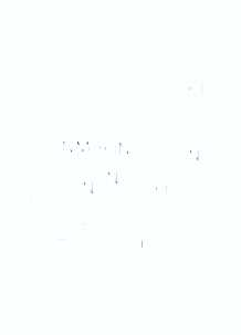 CCc1c(Oc2ncc(C(F)(F)F)cc2N=O)nn(C(=O)NC)c1C